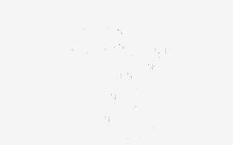 O=c1cc2[nH]nc(NCc3ncnc4ccccc34)c2nn1Cc1ccccc1